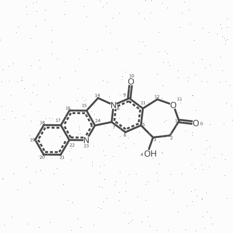 O=C1CC(O)c2cc3n(c(=O)c2CO1)Cc1cc2ccccc2nc1-3